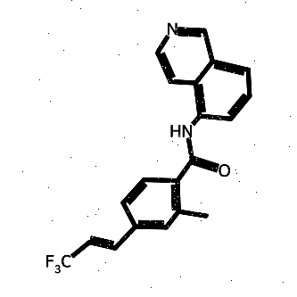 Cc1cc(C=CC(F)(F)F)ccc1C(=O)Nc1cccc2cnccc12